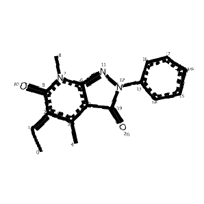 C/C=c1\c(C)c2c(n(C)c1=O)=NN(c1ccccc1)C2=O